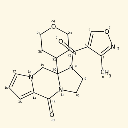 Cc1nocc1C(=O)N1CCN2C(=O)c3cccn3CC12C1CCOCC1